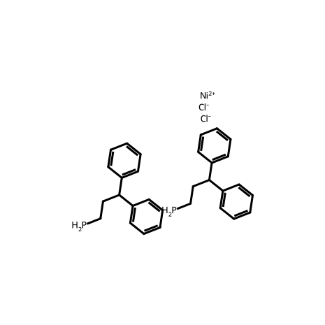 PCCC(c1ccccc1)c1ccccc1.PCCC(c1ccccc1)c1ccccc1.[Cl-].[Cl-].[Ni+2]